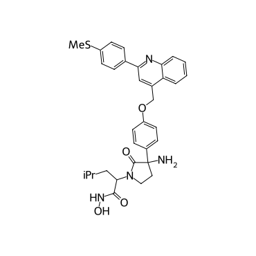 CSc1ccc(-c2cc(COc3ccc(C4(N)CCN(C(CC(C)C)C(=O)NO)C4=O)cc3)c3ccccc3n2)cc1